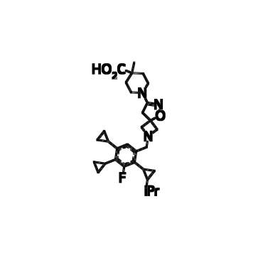 CC(C)C1CC1c1c(CN2CC3(CC(N4CCC(C)(C(=O)O)CC4)=NO3)C2)cc(C2CC2)c(C2CC2)c1F